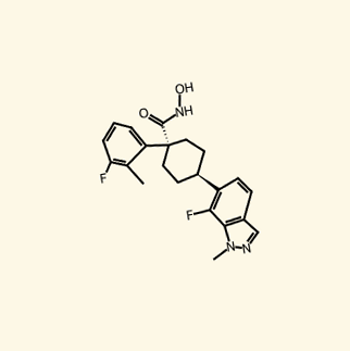 Cc1c(F)cccc1[C@]1(C(=O)NO)CC[C@H](c2ccc3cnn(C)c3c2F)CC1